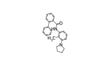 Cc1c(NC(=O)c2ccccc2-c2ccccc2)cccc1N1CCCC1